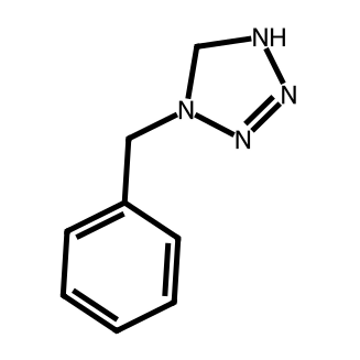 c1ccc(CN2CNN=N2)cc1